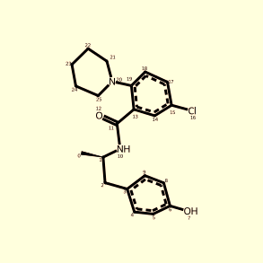 C[C@H](Cc1ccc(O)cc1)NC(=O)c1cc(Cl)ccc1N1CCCCC1